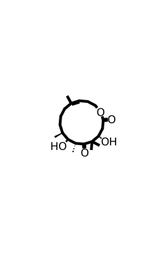 C/C1=C/CCOC(=O)C[C@H](O)C(C)(C)C(=O)[C@H](C)[C@@H](O)[C@@H](C)CCC1